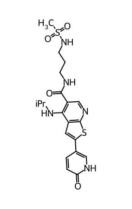 CC(C)Nc1c(C(=O)NCCCNS(C)(=O)=O)cnc2sc(-c3ccc(=O)[nH]c3)cc12